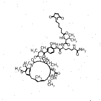 COc1cc2cc(c1Cl)N(C)C(=O)C[C@H](OC(=O)[C@H](C)N(C)C(=O)c1ccc(NC(=O)[C@H](CCCNC(N)=O)NC(=O)[C@@H](NC(=O)CCCCCN3C(=O)C=CC3=O)C(C)C)c(O)c1)[C@]1(C)O[C@H]1[C@H](C)[C@@H]1C[C@@](O)(NC(=O)O1)[C@H](OC)/C=C/C=C(\C)C2